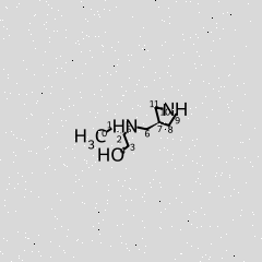 CC[C@@H](CO)NC[C@@H]1CCNC1